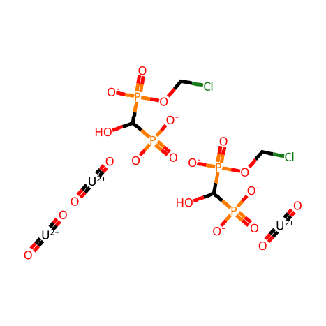 O=P([O-])([O-])C(O)P(=O)([O-])OCCl.O=P([O-])([O-])C(O)P(=O)([O-])OCCl.[O]=[U+2]=[O].[O]=[U+2]=[O].[O]=[U+2]=[O]